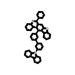 c1ccc(-c2nc3ccccc3c3c(-c4cccc(-c5cccc(-n6c7ccccc7c7ccccc76)c5)c4)c4c(cc23)oc2ccccc24)cc1